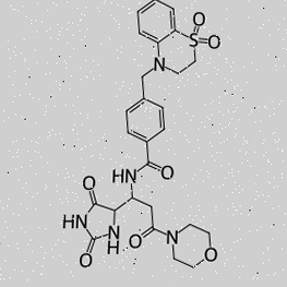 O=C1NC(=O)C(C(CC(=O)N2CCOCC2)NC(=O)c2ccc(CN3CCS(=O)(=O)c4ccccc43)cc2)N1